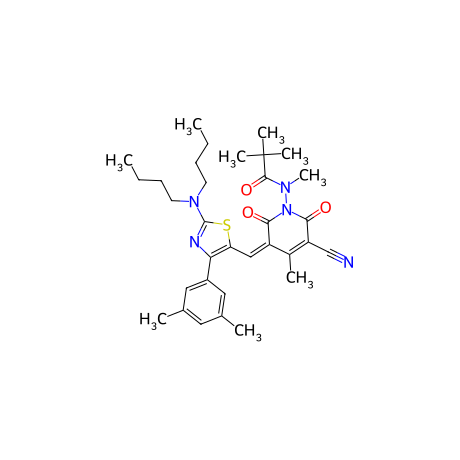 CCCCN(CCCC)c1nc(-c2cc(C)cc(C)c2)c(/C=C2\C(=O)N(N(C)C(=O)C(C)(C)C)C(=O)C(C#N)=C2C)s1